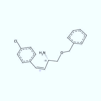 N[C@@H](/C=C\c1ccc(Cl)cc1)COCc1ccccc1